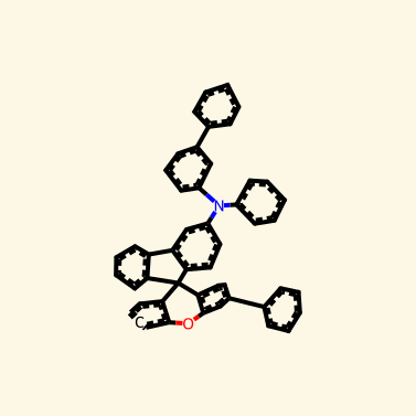 c1ccc(-c2cccc(N(c3ccccc3)c3ccc4c(c3)-c3ccccc3C43c4ccccc4Oc4cc(-c5ccccc5)ccc43)c2)cc1